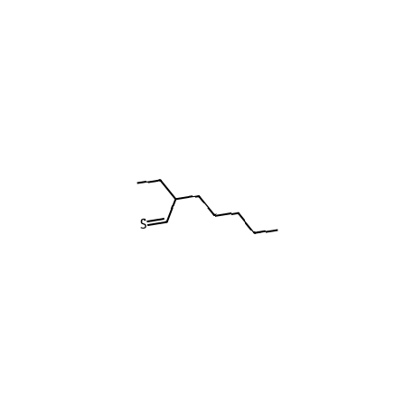 CCCCCC(C=S)CC